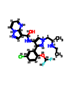 CCN[C@@H](C)Cn1cc(NC(O)c2cnn3cccnc23)c(-c2cc(Cl)ccc2OC(F)F)n1